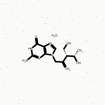 C=C(Cn1cnc2c(=O)[nH]c(N)nc21)[C@H](CO)[C@H](C)O.O